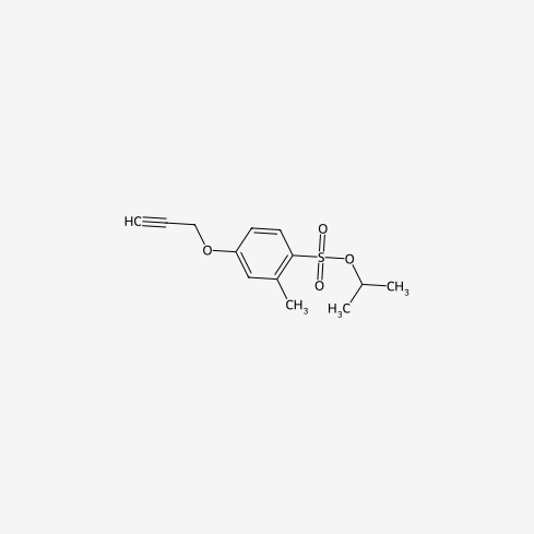 C#CCOc1ccc(S(=O)(=O)OC(C)C)c(C)c1